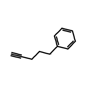 C#CCC[CH]c1ccccc1